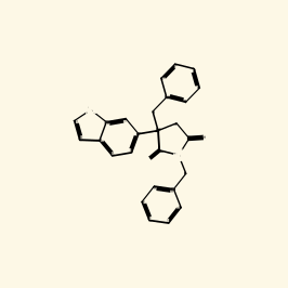 O=C1CC(Cc2ccccc2)(c2ccc3cc[nH]c3c2)C(=O)N1Cc1ccccc1